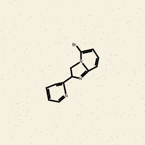 BrC1=CC=CC2=NC(c3ccccn3)CN12